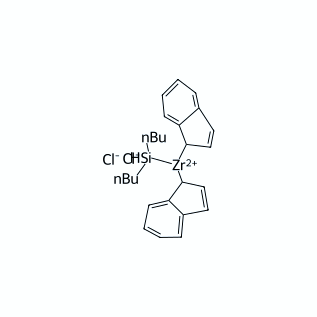 CCCC[SiH](CCCC)[Zr+2]([CH]1C=Cc2ccccc21)[CH]1C=Cc2ccccc21.[Cl-].[Cl-]